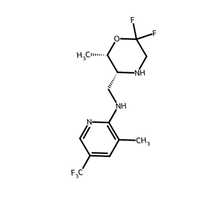 Cc1cc(C(F)(F)F)cnc1NC[C@H]1NCC(F)(F)O[C@H]1C